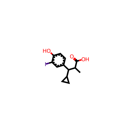 CC(C(=O)O)C(c1ccc(O)c(I)c1)C1CC1